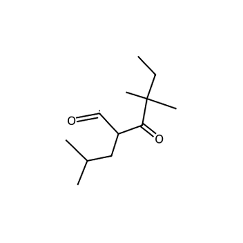 CCC(C)(C)C(=O)C([C]=O)CC(C)C